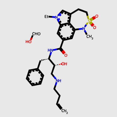 C=CCCNC[C@@H](O)[C@H](Cc1ccccc1)NC(=O)c1cc2c3c(cn(CC)c3c1)CCS(=O)(=O)N2C.O=CO